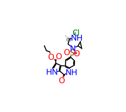 CCCOC(=O)c1c[nH]c2c(=O)[nH]c3ccc(S(=O)(=O)N(C[C@H](C)NCl)C4CC4)cc3c12